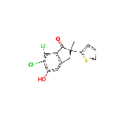 CC1(c2cccs2)Cc2cc(O)c(Cl)c(Cl)c2C1=O